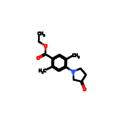 CCOC(=O)c1cc(C)c(N2CCC(=O)C2)cc1C